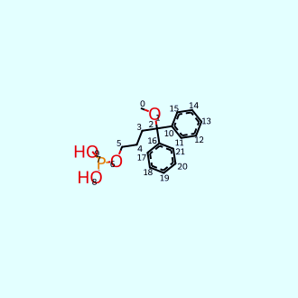 COC(CCCOP(O)O)(c1ccccc1)c1ccccc1